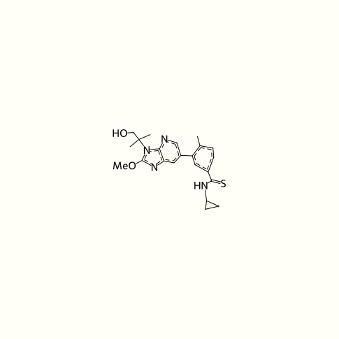 COc1nc2cc(-c3cc(C(=S)NC4CC4)ccc3C)cnc2n1C(C)(C)CO